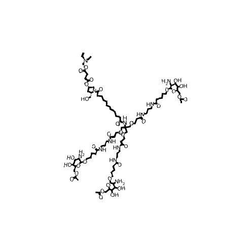 CCN(CC)COC(=O)CCC(=O)O[C@@H]1C[C@@H](CO)N(C(=O)CCCCCCCCCCC(=O)NC(COCCC(=O)NCCCNC(=O)CCCCOC2OC(COC(C)=O)C(O)C(O)C2N)(COCCC(=O)NCCCNC(=O)CCCCOC2OC(COC(C)=O)C(O)C(O)C2N)COCCC(=O)NCCCNC(=O)CCCCOC2OC(COC(C)=O)C(O)C(O)C2N)C1